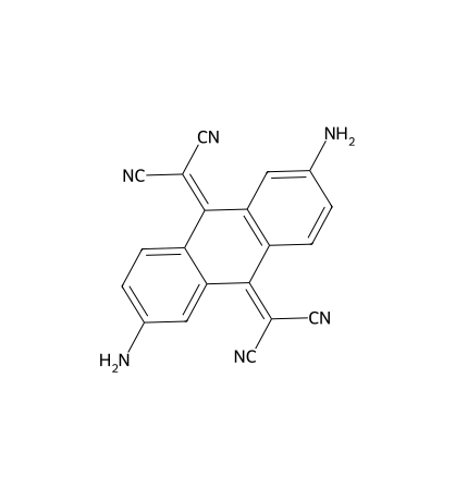 N#CC(C#N)=c1c2ccc(N)cc2c(=C(C#N)C#N)c2ccc(N)cc12